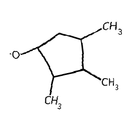 CC1CC([O])C(C)C1C